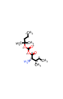 CCCC(C)(C)OC(=O)OC(=O)[C@@H](N)[C@@H](C)CC